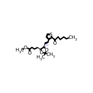 CCCCCC(=O)c1sccc1/C=C/[C@H]1OC(C)(C)O[C@H]1CCCC(=O)OC